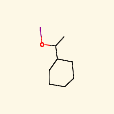 CC(OI)C1CCCCC1